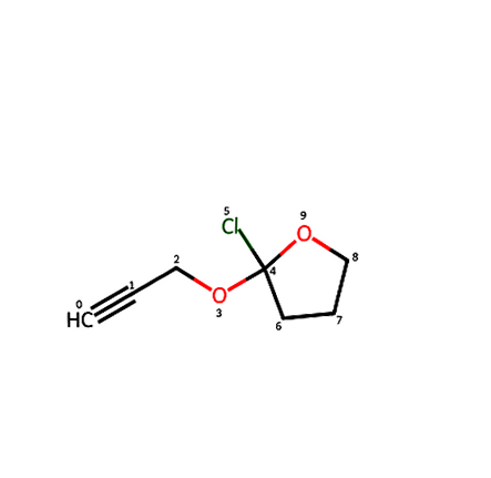 C#CCOC1(Cl)CCCO1